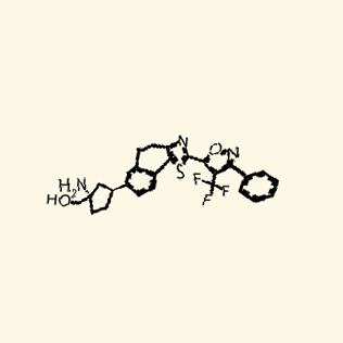 N[C@@]1(CO)CC[C@H](c2ccc3c(c2)CCc2nc(-c4onc(-c5ccccc5)c4C(F)(F)F)sc2-3)C1